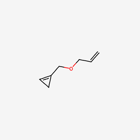 C=CCOCC1=CC1